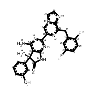 C[C@]1(c2cccc(O)c2)C(=O)Nc2nc(-c3cn4ccnc4c(Cc4cc(F)ccc4F)n3)nc(N)c21